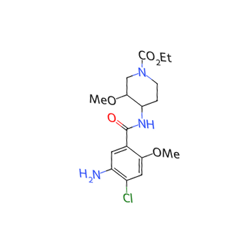 CCOC(=O)N1CCC(NC(=O)c2cc(N)c(Cl)cc2OC)C(OC)C1